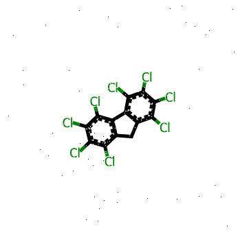 Clc1c(Cl)c(Cl)c2c(c1Cl)Cc1c(Cl)c(Cl)c(Cl)c(Cl)c1-2